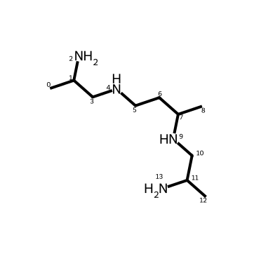 CC(N)CNCCC(C)NCC(C)N